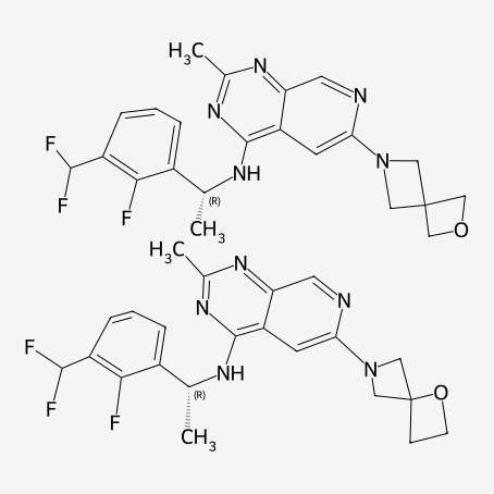 Cc1nc(N[C@H](C)c2cccc(C(F)F)c2F)c2cc(N3CC4(CCO4)C3)ncc2n1.Cc1nc(N[C@H](C)c2cccc(C(F)F)c2F)c2cc(N3CC4(COC4)C3)ncc2n1